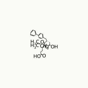 CC(C)(C)OC(=NCCCC(=O)O)[C@@H](CC(=O)O)Cc1ccc(-c2ccccc2)cc1